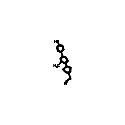 Cc1cc(-c2ccc(S)cc2)ccc1-c1ccc(SC#N)cc1